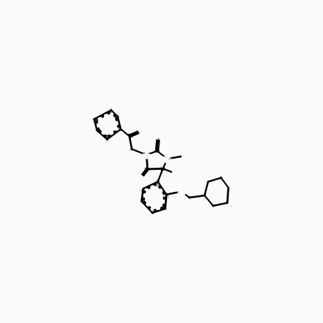 CN1C(=O)N(CC(=O)c2ccccc2)C(=O)C1(C)c1ccccc1OCC1CCCCC1